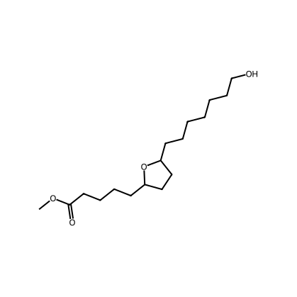 COC(=O)CCCCC1CCC(CCCCCCCO)O1